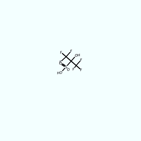 O=S(=O)(O)C(O)(C(F)(F)F)C(F)(F)F